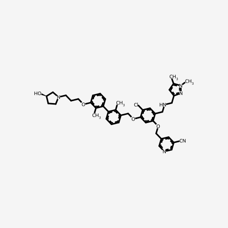 Cc1c(COc2cc(OCc3cncc(C#N)c3)c(CNCc3cc(C)n(C)n3)cc2Cl)cccc1-c1cccc(OCCCN2CC[C@@H](O)C2)c1C